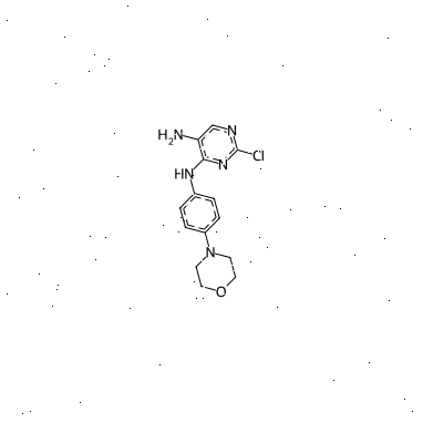 Nc1cnc(Cl)nc1Nc1ccc(N2CCOCC2)cc1